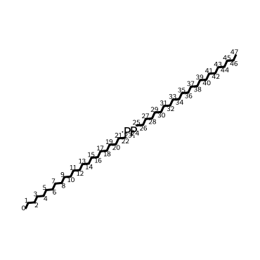 CCCCCCCCCCCCCCCCCCCCCCC[P][P]CCCCCCCCCCCCCCCCCCCCCCC